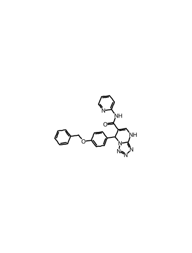 O=C(Nc1ccccn1)C1=CNc2nnnn2C1c1ccc(OCc2ccccc2)cc1